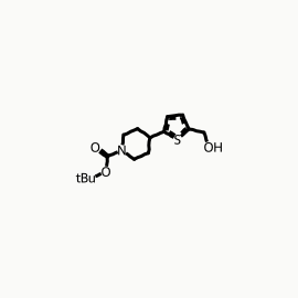 CC(C)(C)OC(=O)N1CCC(c2ccc(CO)s2)CC1